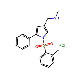 CNCc1cc(-c2ccccc2)n(S(=O)(=O)c2ccccc2C)c1.Cl